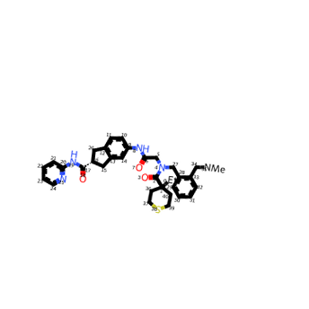 CCC1(C(=O)N(CC(=O)Nc2ccc3c(c2)C[C@H](C(=O)Nc2ccccn2)C3)Cc2ccccc2CNC)CCSCC1